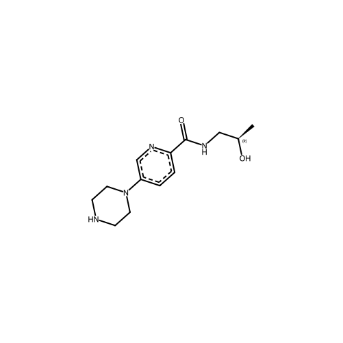 C[C@@H](O)CNC(=O)c1ccc(N2CCNCC2)cn1